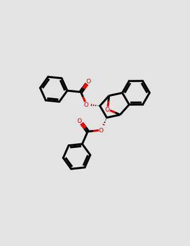 O=C(O[C@@H]1C2OC(c3ccccc32)[C@@H]1OC(=O)c1ccccc1)c1ccccc1